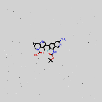 Cc1c(-c2cc3cc(N)ncc3c(NC(=O)OC(C)(C)C)c2F)cnc2c1N(C(=O)O)CC1CC21